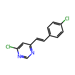 Clc1ccc(C=Cc2cc(Cl)ncn2)cc1